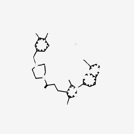 Cc1nn(-c2ccc3nnc(C)n3n2)c(C)c1CCC(=O)N1CCN(Cc2ccc(C(=O)O)c(F)c2)CC1.Cl